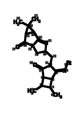 CC/N=C1/C2C(C)C(C)C2C(=O)N1CC1CN2C(=O)C3C(C2=N1)C3(C)C